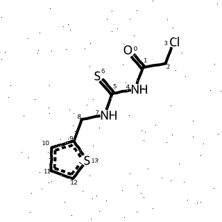 O=C(CCl)NC(=S)NCc1cccs1